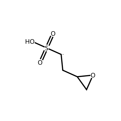 O=S(=O)(O)[CH]CC1CO1